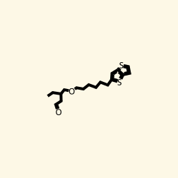 CCC(CC=O)COCCCCCCc1cc2sccc2s1